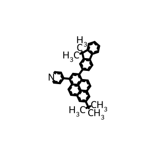 CC(C)(C)c1cc2ccc3c(-c4ccncc4)cc(-c4ccc5c(c4)C(C)(C)c4ccccc4-5)c4ccc(c1)c2c34